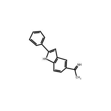 CC(=N)c1ccc2[nH]c(-c3ccccc3)cc2c1